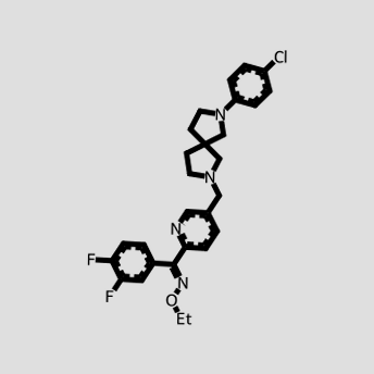 CCON=C(c1ccc(F)c(F)c1)c1ccc(CN2CCC3(CCN(c4ccc(Cl)cc4)C3)C2)cn1